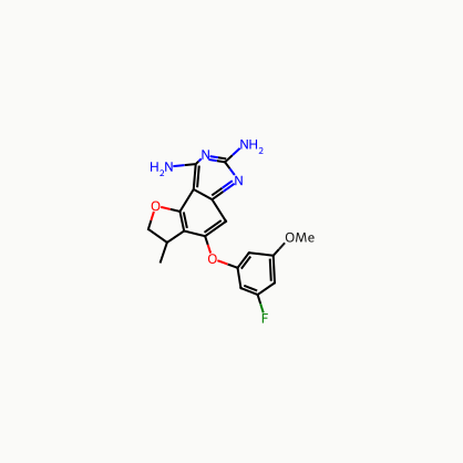 COc1cc(F)cc(Oc2cc3nc(N)nc(N)c3c3c2C(C)CO3)c1